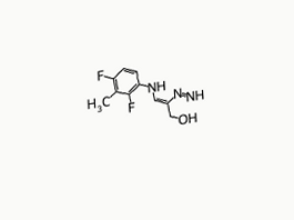 Cc1c(F)ccc(N/C=C(/CO)N=N)c1F